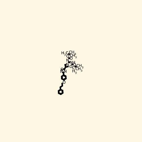 CC(C)(C)OC(=O)N=C(NC(=O)OC(C)(C)C)N1CC(c2nc(-c3ccc(OCCCc4ccccc4)cc3)no2)C1